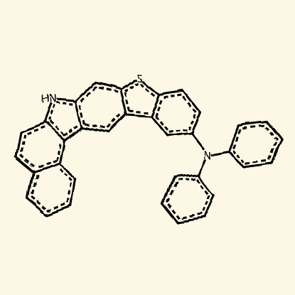 c1ccc(N(c2ccccc2)c2ccc3sc4cc5[nH]c6ccc7ccccc7c6c5cc4c3c2)cc1